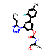 CCCc1nnnn1-c1cc(OC(=O)N[C@@H](C)CO)cc(-c2ccc(C)cc2F)c1